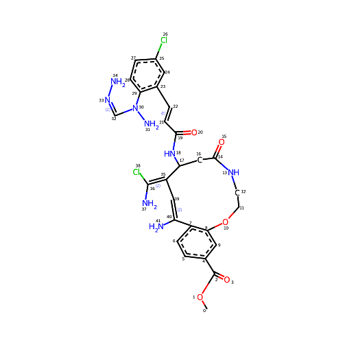 COC(=O)c1ccc2c(c1)OCCNC(=O)CC(NC(=O)/C=C/c1cc(Cl)ccc1N(N)/C=N\N)C(=C(/N)Cl)/C=C/2N